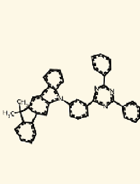 CC1(C)c2ccccc2-c2cc3c(cc21)c1ccccc1n3-c1cccc(-c2nc(-c3ccccc3)nc(-c3ccccc3)n2)c1